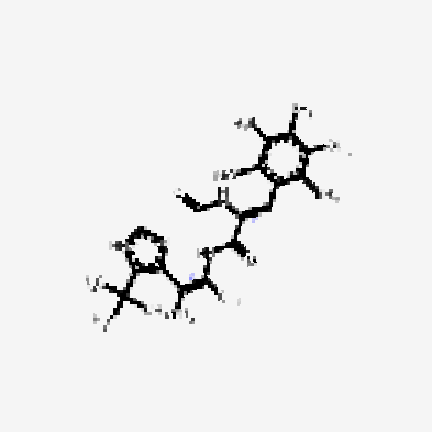 B/C(=C(\C)NC(=O)/C(=C/c1c(B)c(B)c(B)c(B)c1O)NC=O)c1nc[nH]c1C(C)(C)C